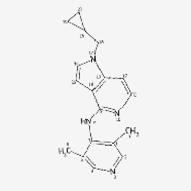 Cc1cncc(C)c1Nc1nccc2c1ccn2CC1CC1